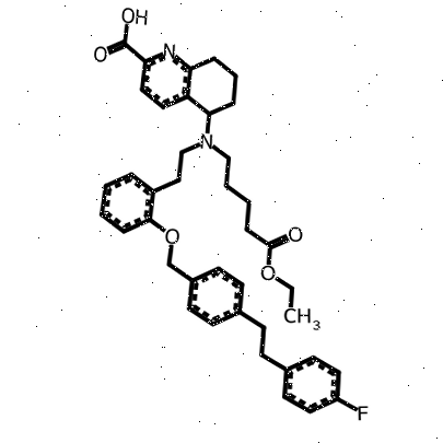 CCOC(=O)CCCCN(CCc1ccccc1OCc1ccc(CCc2ccc(F)cc2)cc1)C1CCCc2nc(C(=O)O)ccc21